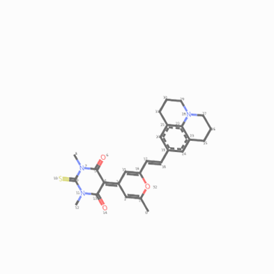 CC1=CC(=C2C(=O)N(C)C(=S)N(C)C2=O)C=C(C=Cc2cc3c4c(c2)CCCN4CCC3)O1